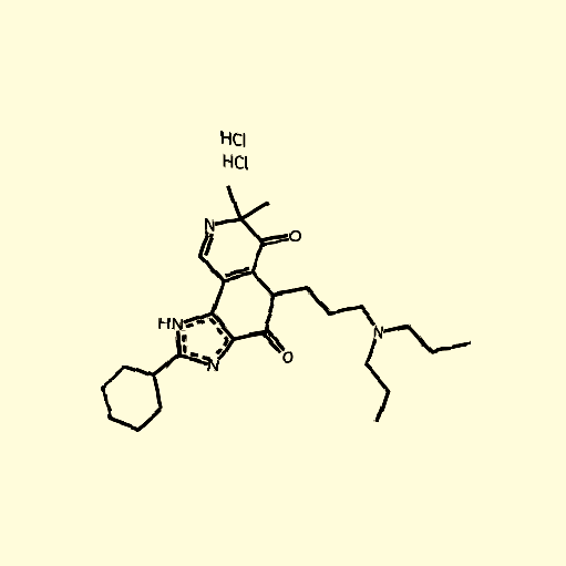 CCCN(CCC)CCCC1C(=O)c2nc(C3CCCCC3)[nH]c2C2=C1C(=O)C(C)(C)N=C2.Cl.Cl